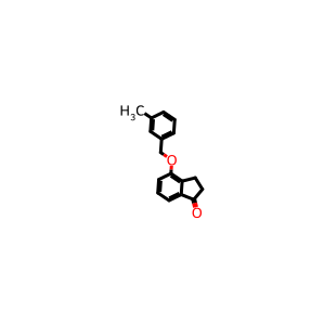 Cc1cccc(COc2cccc3c2CCC3=O)c1